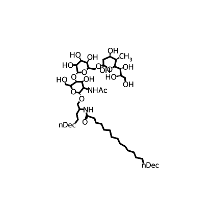 CCCCCCCCCCCCCCCCCCCCCCCC(=O)NC(CCCCCCCCCCCC)CO[C@@H]1OC(CO)[C@@H](O[C@@H]2OC(CO[C@]3(O)C[C@@H](O)[C@@H](C)C([C@H](O)[C@H](O)CO)O3)[C@H](O)[C@H](O)C2O)[C@@H](O)C1NC(C)=O